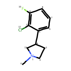 CN1CCC(c2cccc(F)c2Cl)C1